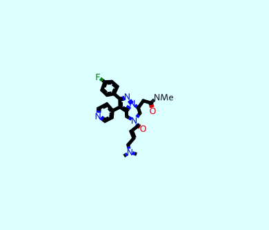 CNC(=O)CC1CN(C(=O)/C=C/CN(C)C)Cc2c(-c3ccncc3)c(-c3ccc(F)cc3)nn21